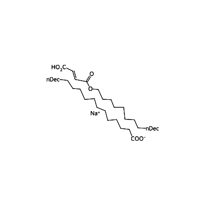 CCCCCCCCCCCCCCCCCCCCCC(=O)[O-].CCCCCCCCCCCCCCCCCCOC(=O)/C=C/C(=O)O.[Na+]